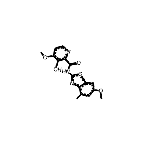 COc1cc(C)c2nc(NC(=O)c3nccc(OC)c3O)sc2c1